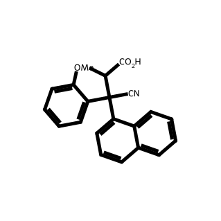 COc1ccccc1C(C#N)(c1cccc2ccccc12)C(C)C(=O)O